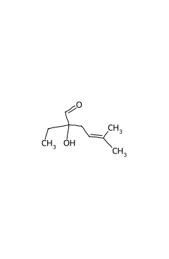 CCC(O)(C=O)CC=C(C)C